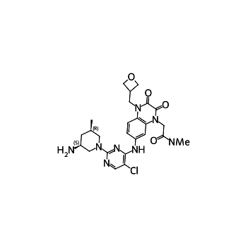 CNC(=O)Cn1c(=O)c(=O)n(CC2COC2)c2ccc(Nc3nc(N4C[C@H](C)C[C@H](N)C4)ncc3Cl)cc21